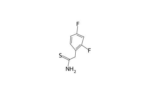 NC(=S)Cc1ccc(F)cc1F